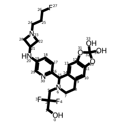 OCC(F)(F)CN1CCc2cc3c(cc2C1c1ccc(NC2CN(CCCF)C2)cn1)OC(O)(O)O3